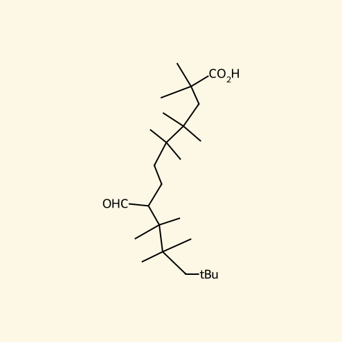 CC(C)(C)CC(C)(C)C(C)(C)C(C=O)CCC(C)(C)C(C)(C)CC(C)(C)C(=O)O